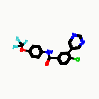 O=C(Nc1ccc(OC(F)(F)F)cc1)c1ccc(Cl)c(-c2cncnc2)c1